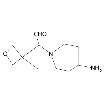 CC1(C(C=O)N2CCC(N)CC2)COC1